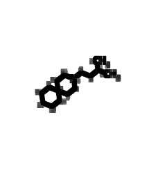 CC(C)CCN1CCC2(CCCCC2)CC1